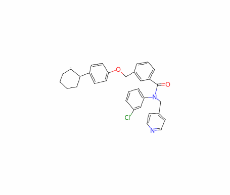 O=C(c1cccc(COc2ccc(C3[CH]CCCC3)cc2)c1)N(Cc1ccncc1)c1cccc(Cl)c1